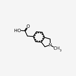 CN1Cc2ccc(CC(=O)O)cc2C1